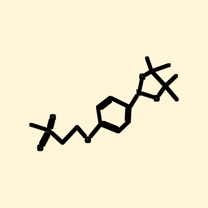 CC1(C)OB(c2ccc(OCCS(C)(=O)=O)cc2)OC1(C)C